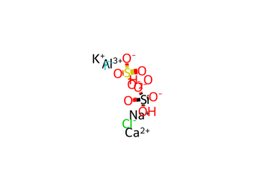 O.O=S(=O)([O-])[O-].[Al+3].[Ca+2].[Cl-].[F-].[K+].[Na+].[O-][Si]([O-])([O-])O